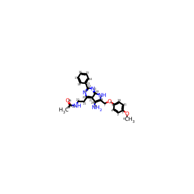 COc1ccc(OCc2[nH]c3nc(-c4ccccc4)nc(CCNC(C)=O)c3c2N)cc1